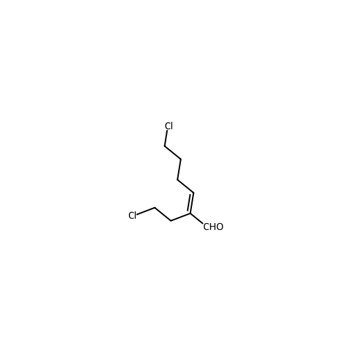 O=CC(=CCCCCl)CCCl